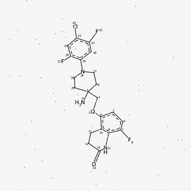 NC1(COc2ccc(F)c3c2CCC(=O)N3)CCN(c2cc(F)c(Cl)cc2F)CC1